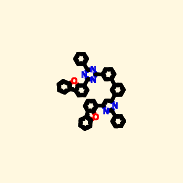 c1ccc(-c2nc(-c3cccc(-c4cccc(-c5nc(-c6ccccc6)nc(-c6cccc7c6oc6ccccc67)n5)c4)c3)cc(-c3cccc4c3oc3ccccc34)n2)cc1